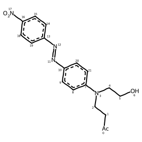 CC(=O)CCN(CCO)c1ccc(N=Nc2ccc([N+](=O)[O-])cc2)cc1